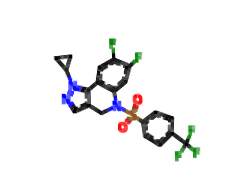 O=S(=O)(c1ccc(C(F)(F)F)cc1)N1Cc2cnn(C3CC3)c2-c2cc(F)c(F)cc21